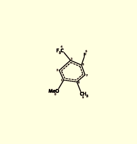 COc1cc(C(F)(F)F)c(F)cc1C